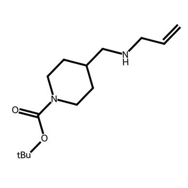 C=CCNCC1CCN(C(=O)OC(C)(C)C)CC1